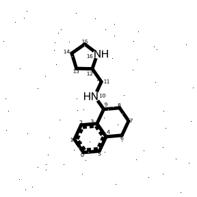 c1ccc2c(c1)CCCC2NCC1CCCN1